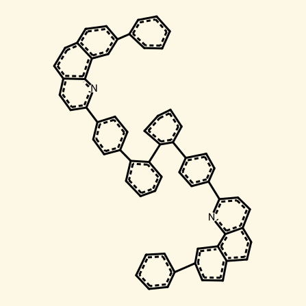 c1ccc(-c2ccc3ccc4ccc(-c5ccc(-c6ccccc6-c6ccccc6-c6ccc(-c7ccc8ccc9ccc(-c%10ccccc%10)cc9c8n7)cc6)cc5)nc4c3c2)cc1